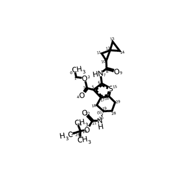 CCOC(=O)c1c(NC(=O)C2CC23CC3)sc2c1C[C@@H](NC(=O)OC(C)(C)C)CC2